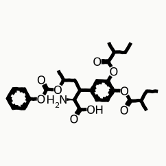 CCC(C)C(=O)Oc1ccc(C(CC(C)OC(=O)Oc2ccccc2)[C@H](N)C(=O)O)cc1OC(=O)C(C)CC